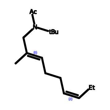 CC/C=C\CC/C=C(\C)CN(C(C)=O)C(C)(C)C